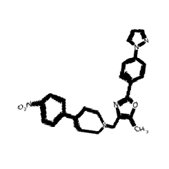 Cc1oc(-c2ccc(-n3cccn3)cc2)nc1CN1CCC(c2ccc([N+](=O)[O-])cc2)CC1